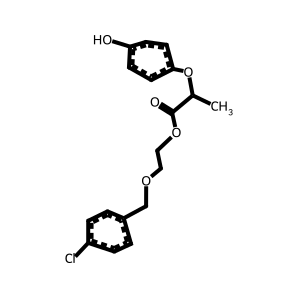 CC(Oc1ccc(O)cc1)C(=O)OCCOCc1ccc(Cl)cc1